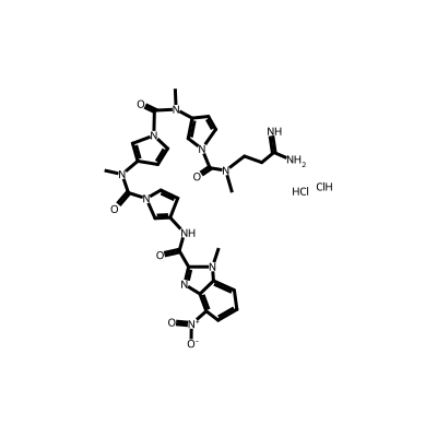 CN(CCC(=N)N)C(=O)n1ccc(N(C)C(=O)n2ccc(N(C)C(=O)n3ccc(NC(=O)c4nc5c([N+](=O)[O-])cccc5n4C)c3)c2)c1.Cl.Cl